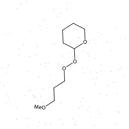 COCCCOOC1CCCCO1